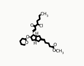 CCCCC(Cl)C(=O)C=C[C@@H]1[C@H]2CC(=CCCCC(=O)OC)C[C@@H]2C[C@H]1OC1CCCCO1